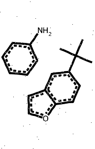 CC(C)(C)c1ccc2occc2c1.Nc1ccccc1